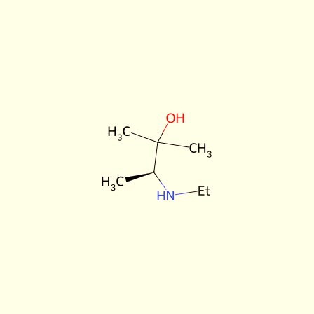 CCN[C@@H](C)C(C)(C)O